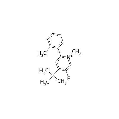 Cc1ccccc1-c1cc(C(C)(C)C)c(F)c[n+]1C